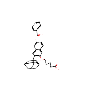 O=C(O)CCCCOc1cc2ccc(OC(=O)c3ccccc3)cc2cc1C12CC3CC(CC(C3)C1)C2